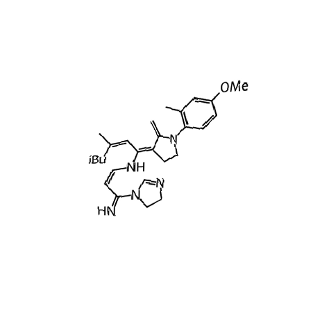 C=C1/C(=C(\C=C(\C)C(C)CC)N/C=C\C(=N)N2C=NCC2)CCN1c1ccc(OC)cc1C